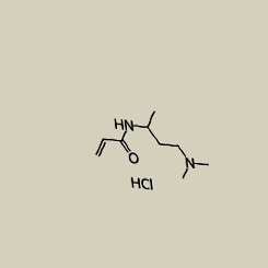 C=CC(=O)NC(C)CCN(C)C.Cl